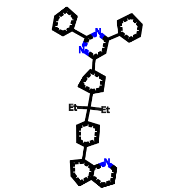 CCC(CC)(c1ccc(-c2cc(-c3ccccc3)nc(-c3ccccc3)n2)cc1)c1ccc(-c2cccc3cccnc23)cc1